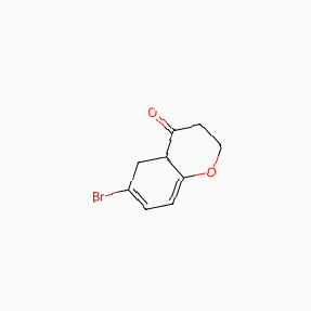 O=C1CCOC2=CC=C(Br)CC12